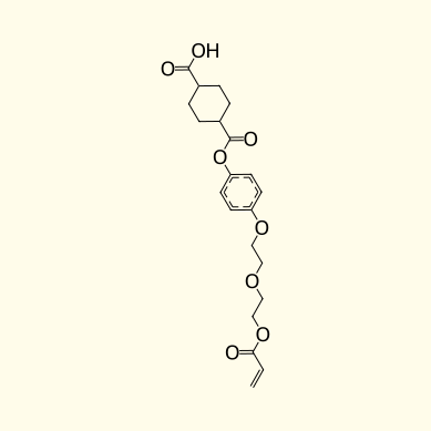 C=CC(=O)OCCOCCOc1ccc(OC(=O)C2CCC(C(=O)O)CC2)cc1